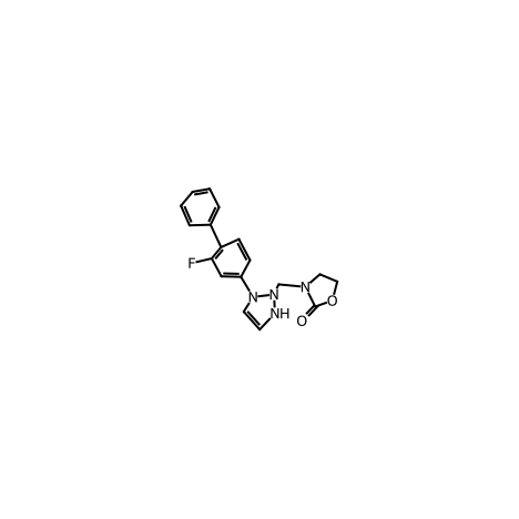 O=C1OCCN1CN1NC=CN1c1ccc(-c2ccccc2)c(F)c1